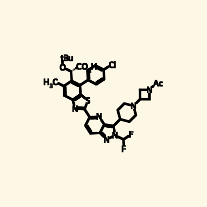 CC(=O)N1CC(N2CCC(c3c4nc(-c5nc6cc(C)c([C@H](OC(C)(C)C)C(=O)O)c(-c7ccc(Cl)cc7)c6s5)ccc4nn3C(F)F)CC2)C1